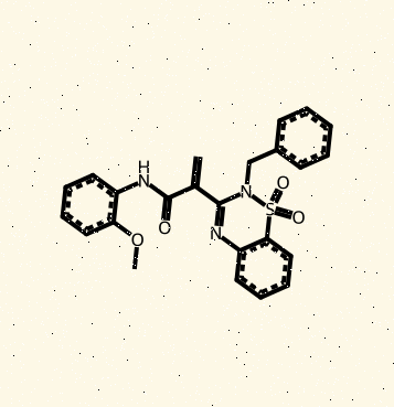 C=C(C(=O)Nc1ccccc1OC)C1=Nc2ccccc2S(=O)(=O)N1Cc1ccccc1